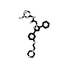 CC(C)C[C@H](NC(=O)Cn1nc(-c2cccc(OCCN3CCOCC3)c2)cc1-c1ccccc1)OB(O)O